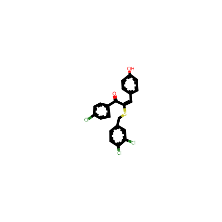 O=C(/C(=C\c1ccc(O)cc1)SCc1ccc(Cl)c(Cl)c1)c1ccc(Cl)cc1